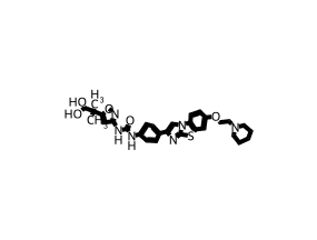 CC(C)(c1cc(NC(=O)Nc2ccc(-c3cn4c(n3)sc3cc(OCCN5CCCCC5)ccc34)cc2)no1)C(O)O